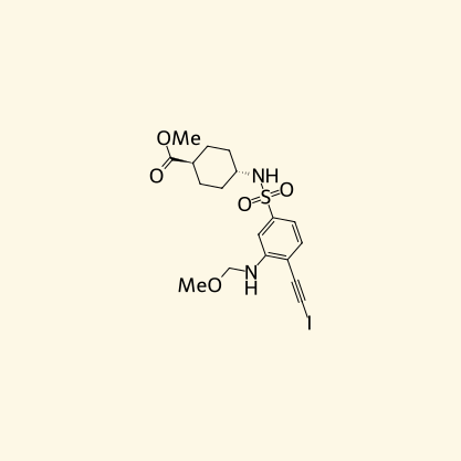 COCNc1cc(S(=O)(=O)N[C@H]2CC[C@H](C(=O)OC)CC2)ccc1C#CI